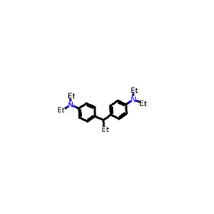 CCC(c1ccc(N(CC)CC)cc1)c1ccc(N(CC)CC)cc1